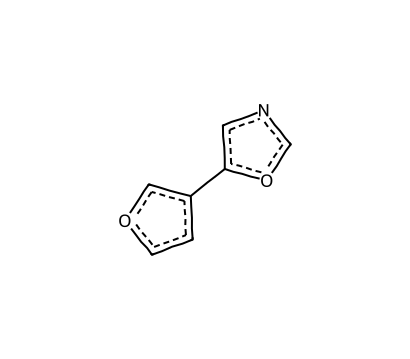 c1cc(-c2cnco2)co1